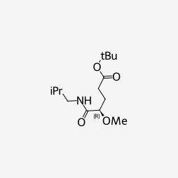 CO[C@H](CCC(=O)OC(C)(C)C)C(=O)NCC(C)C